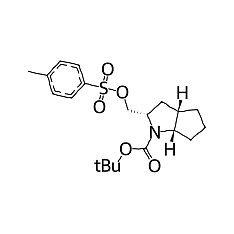 Cc1ccc(S(=O)(=O)OC[C@@H]2C[C@@H]3CCC[C@@H]3N2C(=O)OC(C)(C)C)cc1